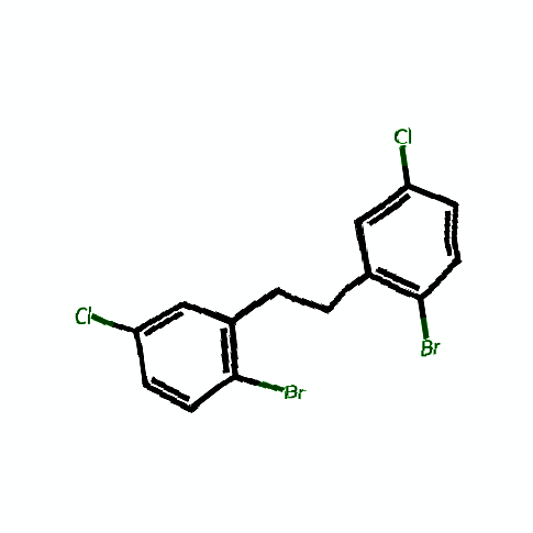 Clc1ccc(Br)c(CCc2cc(Cl)ccc2Br)c1